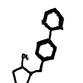 CC1CCCN1Cc1ccc(-c2ncccn2)cc1